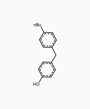 CCCCc1ccc(Cc2ccc(O)cc2)cc1